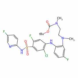 CN(CCN(C)c1cc(F)ccc1Nc1cc(F)c(S(=O)(=O)Nc2ccc(F)cn2)cc1Cl)C(=O)OC(C)(C)C